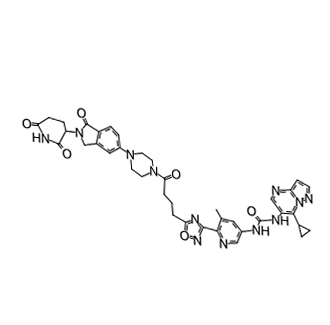 Cc1cc(NC(=O)Nc2cnc3ccnn3c2C2CC2)cnc1-c1noc(CCCC(=O)N2CCN(c3ccc4c(c3)CN(C3CCC(=O)NC3=O)C4=O)CC2)n1